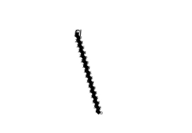 CCCCCCCCCCCCCCCCCCCCCCCCCCCCCCCCCl